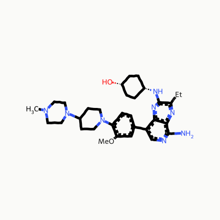 CCc1nc2c(N)ncc(-c3ccc(N4CCC(N5CCN(C)CC5)CC4)c(OC)c3)c2nc1N[C@H]1CC[C@@H](O)CC1